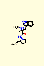 COCC1CCCN1NC(=O)C(C)(Cc1c[nH]c2ccccc12)NC(=O)O